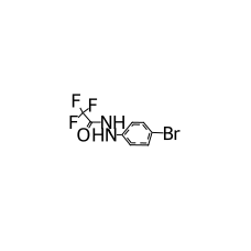 O=C(NNc1ccc(Br)cc1)C(F)(F)F